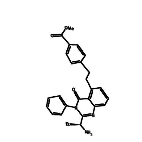 CC[C@H](N)c1nc2cccc(CCc3ccc(C(=O)OC)cc3)c2c(=O)n1-c1ccccc1